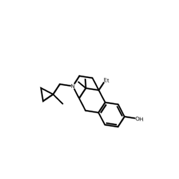 CCC12CCN(CC3(C)CC3)C(Cc3ccc(O)cc31)C2(C)C